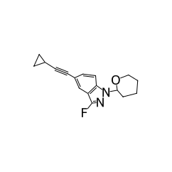 Fc1nn(C2CCCCO2)c2ccc(C#CC3CC3)cc12